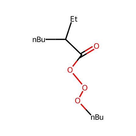 CCCCOOOC(=O)C(CC)CCCC